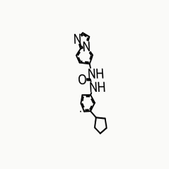 O=C(Nc1cc[c]c(C2CCCC2)c1)Nc1ccc2nccn2c1